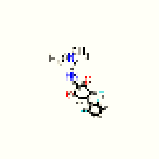 CN(C)CCNC=C1C(=O)CC(c2c(F)cccc2F)CC1=O